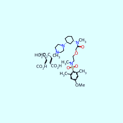 COc1cc(C)c(S(=O)(=O)N(C)CCOCC(=O)N(C)[C@H]2CCC[C@@H](N3CCN(C)CC3)C2)c(C)c1.O=C(O)/C=C/C(=O)O.O=C(O)/C=C/C(=O)O